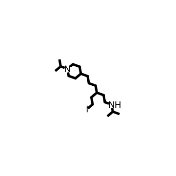 CC(C)NCCC(CCI)CCCC1CCN(C(C)C)CC1